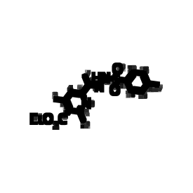 CCOC(=O)c1c(C)cc(/C(C)=N/NS(=O)(=O)c2ccc(C)cc2)nc1C